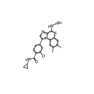 CCCCNc1nc2cc(C)c(C)cc2n2c(-c3ccc(C(=O)NC4CC4)c(Cl)c3)cnc12